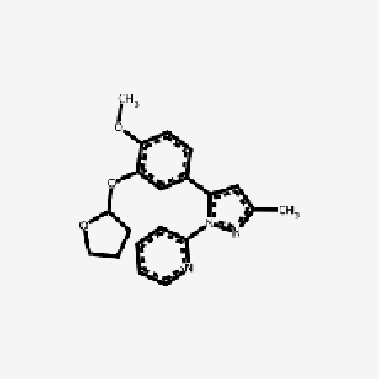 COc1ccc(-c2cc(C)nn2-c2ccccn2)cc1OC1CCCO1